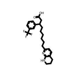 O=C(O)CC(CCCCCCc1ccc2c(n1)NCCC2)c1cccc(C(F)(F)F)c1